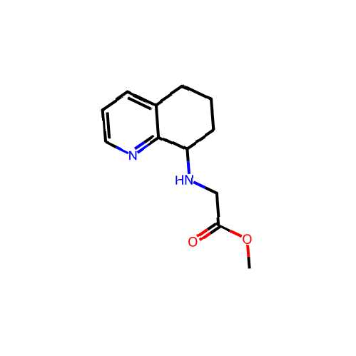 COC(=O)CNC1CCCc2cccnc21